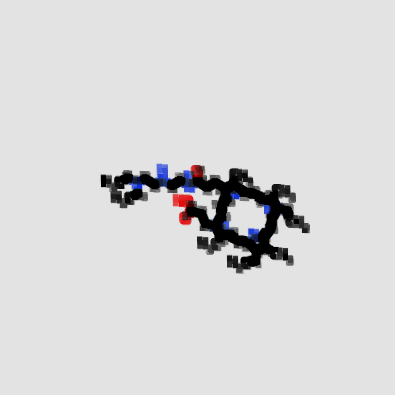 C=CC1=C(C)c2cc3[nH]c(cc4nc(cc5[nH]c(cc1n2)c(C)c5CCC(=O)O)C(CCC(=O)NCCNCCN(CC)CC)=C4C)c(C)c3C=C